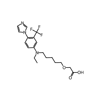 CCN(CCCCCOCC(=O)O)c1ccc(-n2ccnc2)c(C(F)(F)F)c1